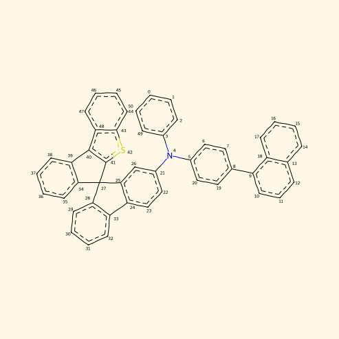 c1ccc(N(c2ccc(-c3cccc4ccccc34)cc2)c2ccc3c(c2)C2(c4ccccc4-3)c3ccccc3-c3c2sc2ccccc32)cc1